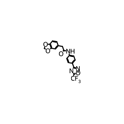 O=C(Cc1ccc2c(c1)OCO2)Nc1ccc(-c2noc(C(F)(F)F)n2)cc1